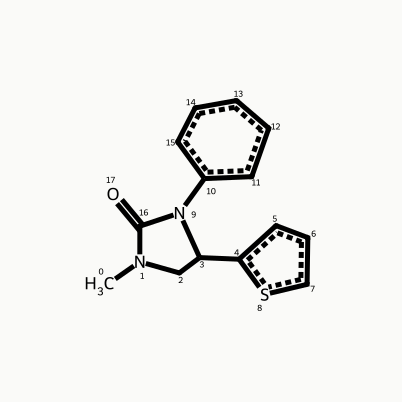 CN1CC(c2cccs2)N(c2ccccc2)C1=O